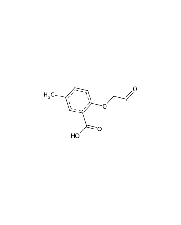 Cc1ccc(OC[C]=O)c(C(=O)O)c1